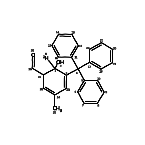 [2H]C1(O)C(C(c2ccccc2)(c2ccccc2)c2ccccc2)=CC(C)=CC1C=O